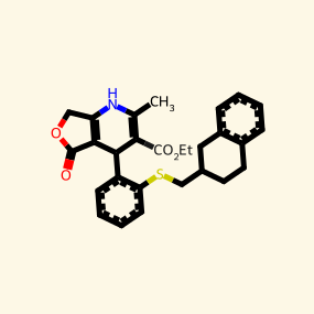 CCOC(=O)C1=C(C)NC2=C(C(=O)OC2)C1c1ccccc1SCC1CCc2ccccc2C1